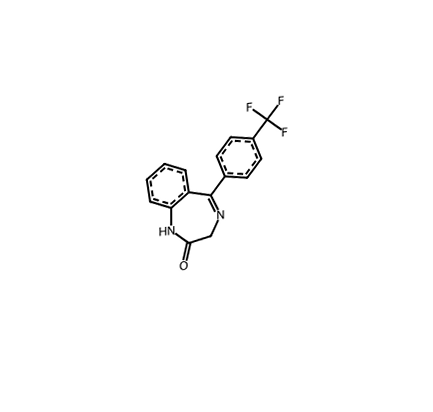 O=C1CN=C(c2ccc(C(F)(F)F)cc2)c2ccccc2N1